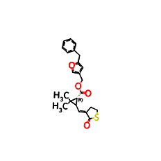 CC1(C)C(C=C2CCSC2=O)[C@H]1C(=O)OCc1coc(Cc2ccccc2)c1